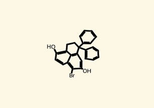 Oc1cc2c3c(c(O)ccc3c1Br)CCC2(c1ccccc1)c1ccccc1